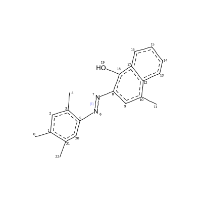 Cc1cc(C)c(/N=N/c2cc(C)c3ccccc3c2O)cc1C